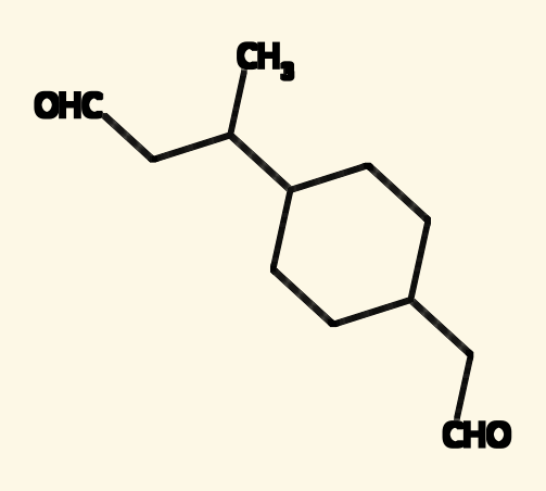 CC(CC=O)C1CCC(CC=O)CC1